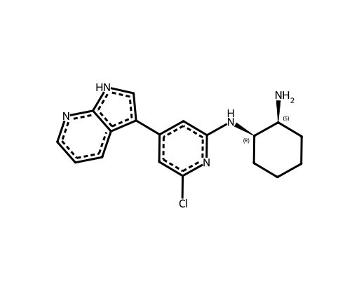 N[C@H]1CCCC[C@H]1Nc1cc(-c2c[nH]c3ncccc23)cc(Cl)n1